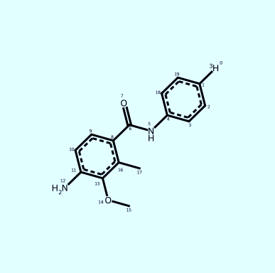 [3H]c1ccc(NC(=O)c2ccc(N)c(OC)c2C)cc1